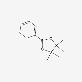 CC1(C)OB(C2=CC=CCC2)OC1(C)C